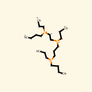 N#CCCCP(CCC#N)CCCP(CCC#N)CCP(CCC#N)CCCC#N